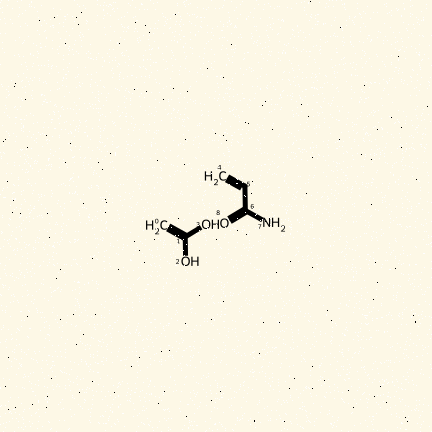 C=C(O)O.C=CC(N)=O